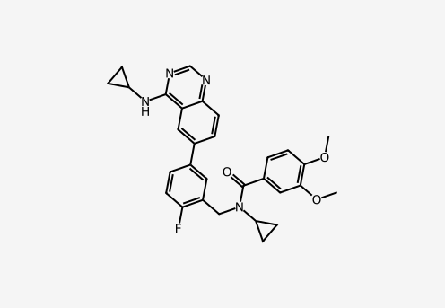 COc1ccc(C(=O)N(Cc2cc(-c3ccc4ncnc(NC5CC5)c4c3)ccc2F)C2CC2)cc1OC